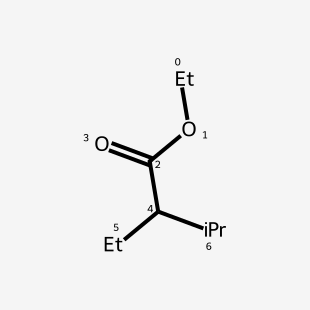 CCOC(=O)C(CC)C(C)C